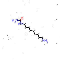 NCCCCCCCCCNC(N)=O